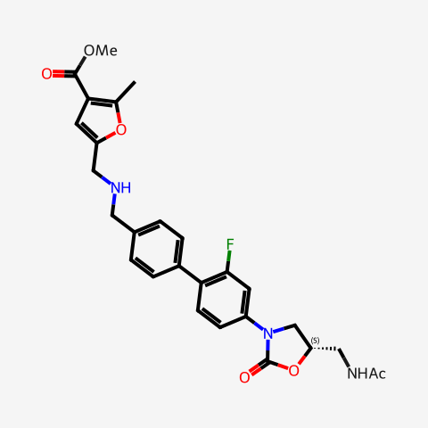 COC(=O)c1cc(CNCc2ccc(-c3ccc(N4C[C@H](CNC(C)=O)OC4=O)cc3F)cc2)oc1C